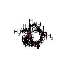 CC(=O)N[C@@H](CC(C)C)C(=O)N[C@H](C(=O)C(=O)[C@H](Cc1ccccc1)NN[C@]1(C)CCCCCC/C=C/CCC[C@@](C)(C(=O)CN[C@@H](C)C(=O)CCN[C@@H](C)C(=O)CCN[C@@H](C)C(=O)CCN[C@@H](C)C(=O)CN[C@H](C)C(=O)N[C@H](C)C(N)=O)NC(=O)[C@H](CC(C)C)NN[C@@H](CCC(N)=O)C(=O)CN[C@@H](C)C(=O)CC(=O)[C@H](Cc2c[nH]c3ccccc23)NN[C@@H](Cc2ccc(O)cc2)C(=O)C(=O)[C@H](CCC(=O)O)NC1=O)[C@@H](C)O